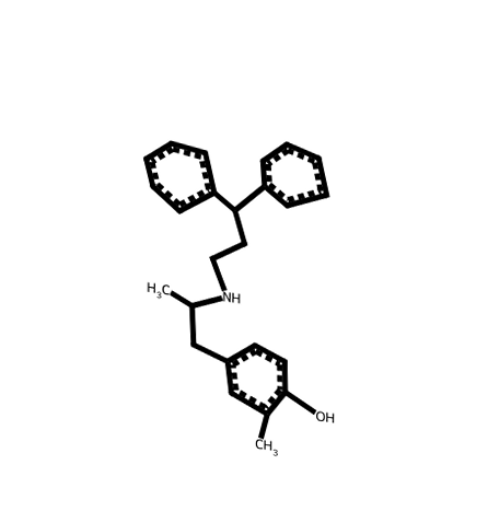 Cc1cc(CC(C)NCCC(c2ccccc2)c2ccccc2)ccc1O